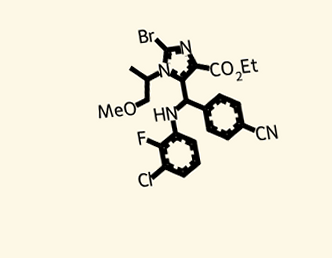 CCOC(=O)c1nc(Br)n(C(C)COC)c1C(Nc1cccc(Cl)c1F)c1ccc(C#N)cc1